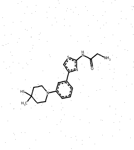 CC1(S)CCN(c2cccc(-c3csc(NC(=O)CN)n3)c2)CC1